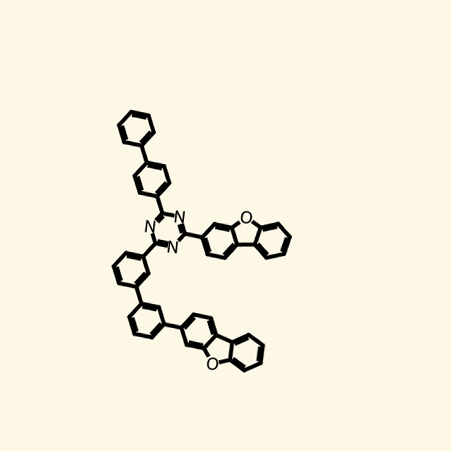 c1ccc(-c2ccc(-c3nc(-c4cccc(-c5cccc(-c6ccc7c(c6)oc6ccccc67)c5)c4)nc(-c4ccc5c(c4)oc4ccccc45)n3)cc2)cc1